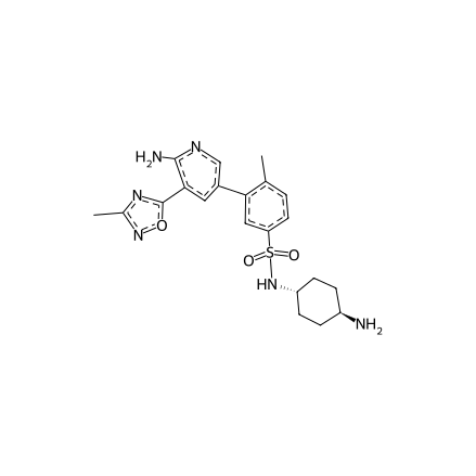 Cc1noc(-c2cc(-c3cc(S(=O)(=O)N[C@H]4CC[C@H](N)CC4)ccc3C)cnc2N)n1